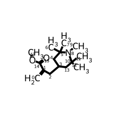 C=C(CC1CC(C)(C)N(C)C(C)(C)C1)C(=O)OC